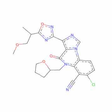 COCC(C)c1nc(-c2ncn3c2c(=O)n(CC2CCCO2)c2c(C#N)c(Cl)ccc23)no1